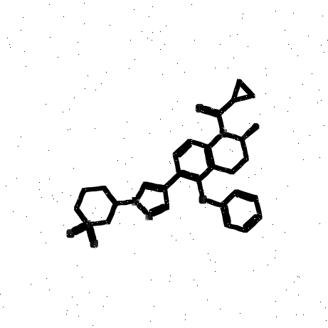 C[C@H]1CCc2c(ccc(-c3cnn(C4CCCS(=O)(=O)C4)c3)c2Oc2ccccc2)N1C(=O)C1CC1